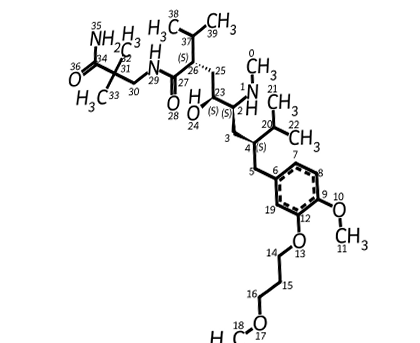 CN[C@@H](C[C@H](Cc1ccc(OC)c(OCCCOC)c1)C(C)C)[C@@H](O)C[C@H](C(=O)NCC(C)(C)C(N)=O)C(C)C